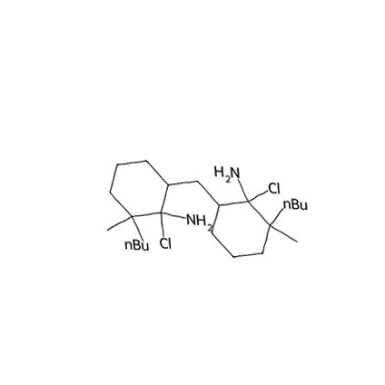 CCCCC1(C)CCCC(CC2CCCC(C)(CCCC)C2(N)Cl)C1(N)Cl